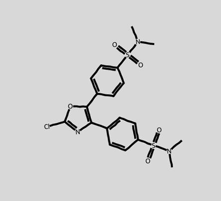 CN(C)S(=O)(=O)c1ccc(-c2nc(Cl)oc2-c2ccc(S(=O)(=O)N(C)C)cc2)cc1